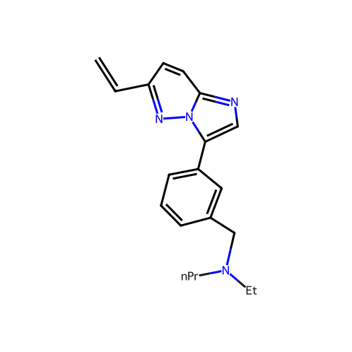 C=Cc1ccc2ncc(-c3cccc(CN(CC)CCC)c3)n2n1